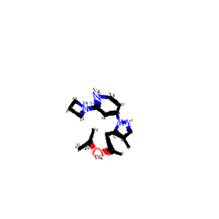 C/C(=C\c1c(C)cnn1-c1ccnc(N2CCC2)c1)OC(C)C